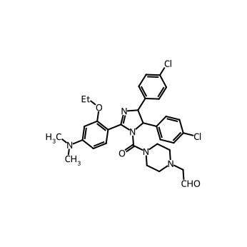 CCOc1cc(N(C)C)ccc1C1=NC(c2ccc(Cl)cc2)C(c2ccc(Cl)cc2)N1C(=O)N1CCN(CC=O)CC1